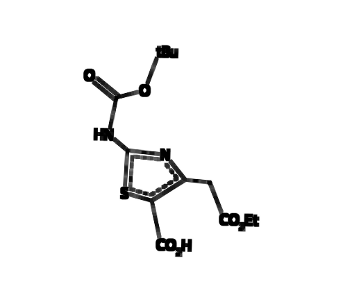 CCOC(=O)Cc1nc(NC(=O)OC(C)(C)C)sc1C(=O)O